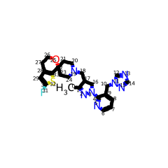 CC1=NN(c2ncccc2Cn2cncn2)CC1CN1CCC2(CC1)OCCc1cc(F)sc12